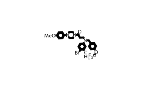 COc1ccc(N2CCN(C(=O)CCN(Cc3ccc(OC(F)(F)F)cc3)c3ccc(Br)c(C)c3)CC2)cc1